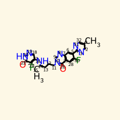 Cc1cnc(-c2cc3ncn(CCC[C@H](C)Nc4cn[nH]c(=O)c4F)c(=O)c3cc2F)nc1